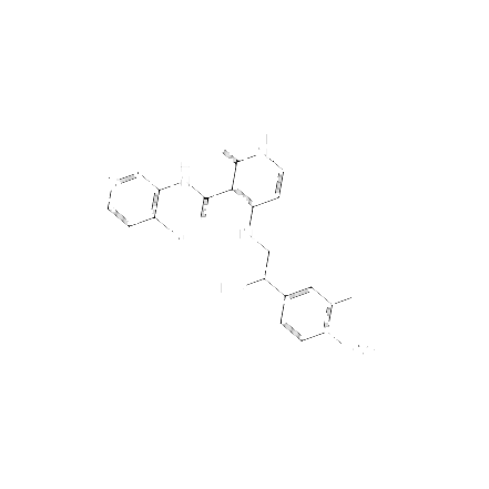 COc1ccc(C(O)CNc2cc[nH]c(=O)c2C(=O)Nc2cnccc2N)cc1Br